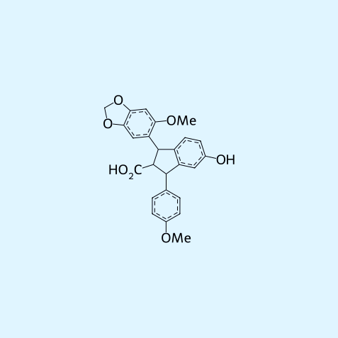 COc1ccc(C2c3cc(O)ccc3C(c3cc4c(cc3OC)OCO4)C2C(=O)O)cc1